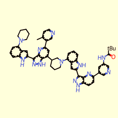 Cc1ccncc1-c1cc(C2CCCN(c3cccc4[nH]c(-c5n[nH]c6ccc(-c7cncc(NC(=O)C(C)(C)C)c7)nc56)cc34)C2)c2[nH]nc(-c3cc4c(N5CCCCC5)cccc4[nH]3)c2n1